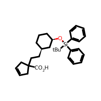 CC(C)(C)[Si](O[C@@H]1CCC[C@H](CCC2(C(=O)O)CC=CC2)C1)(c1ccccc1)c1ccccc1